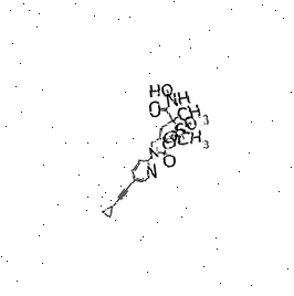 CC(CC1CN(c2ccc(C#CC3CC3)cn2)C(=O)O1)(C(=O)NO)S(C)(=O)=O